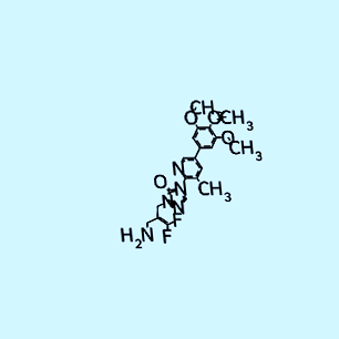 COc1cc(-c2cnc(-n3cnn(CC(CN)=C(F)F)c3=O)c(C)c2)cc(OC)c1OC